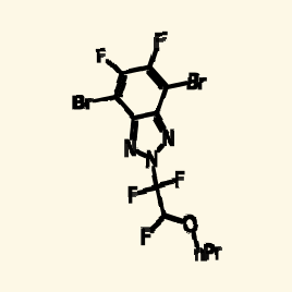 CCCOC(F)C(F)(F)n1nc2c(Br)c(F)c(F)c(Br)c2n1